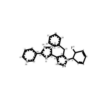 FC1C=CC=CC1n1nnc(-c2nc(-c3cccnc3)no2)c1Cc1ccccc1